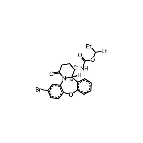 CCC(CC)OC(=O)N[C@H]1CCC(=O)N2c3cc(Br)ccc3Oc3ccccc3[C@@H]12